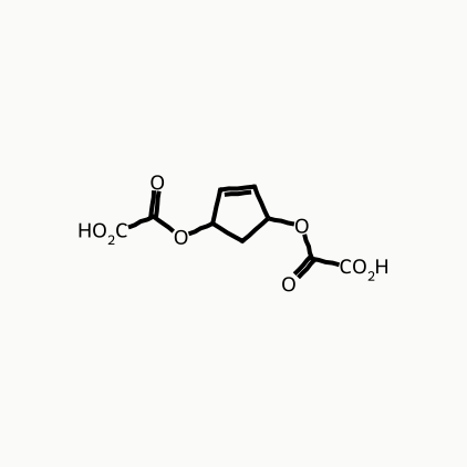 O=C(O)C(=O)OC1C=CC(OC(=O)C(=O)O)C1